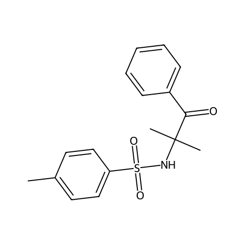 Cc1ccc(S(=O)(=O)NC(C)(C)C(=O)c2ccccc2)cc1